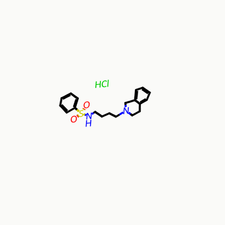 Cl.O=S(=O)(NCCCCN1CCc2ccccc2C1)c1ccccc1